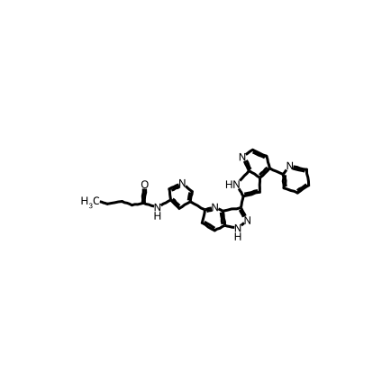 CCCCC(=O)Nc1cncc(-c2ccc3[nH]nc(-c4cc5c(-c6ccccn6)ccnc5[nH]4)c3n2)c1